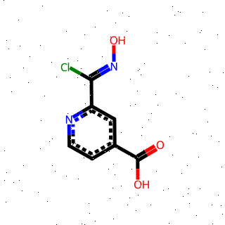 O=C(O)c1ccnc(C(Cl)=NO)c1